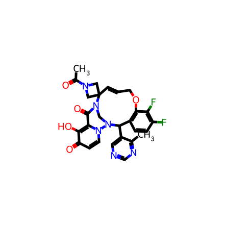 CC(=O)N1CC2(/C=C/COc3c(ccc(F)c3F)C(c3cncnc3C)N3CN2C(=O)c2c(O)c(=O)ccn23)C1